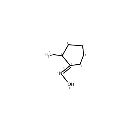 CC1CCCC/C1=N\O